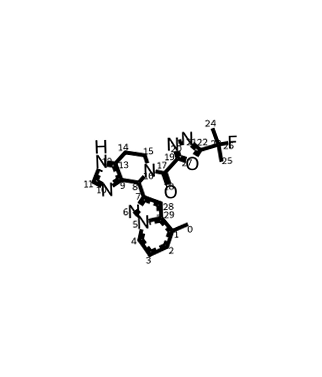 Cc1cccn2nc(C3c4nc[nH]c4CCN3C(=O)c3nnc(C(C)(C)F)o3)cc12